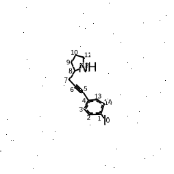 Ic1ccc(C#CCC2CCCN2)cc1